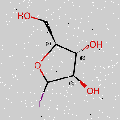 OC[C@@H]1OC(I)[C@H](O)[C@H]1O